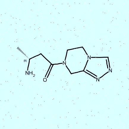 C[C@@H](N)CC(=O)N1CCn2cnnc2C1